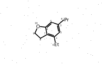 CCc1cc(C(C)C)cc2c1CCO2